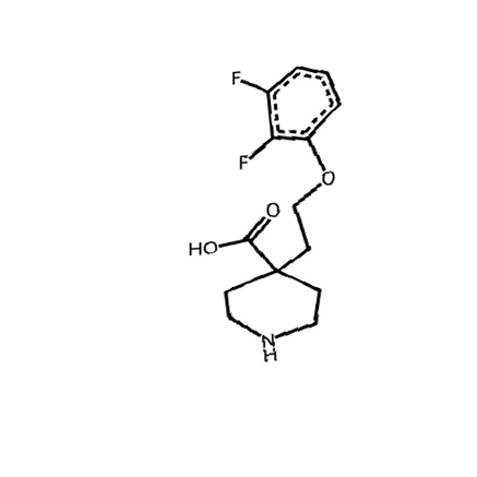 O=C(O)C1(CCOc2cccc(F)c2F)CCNCC1